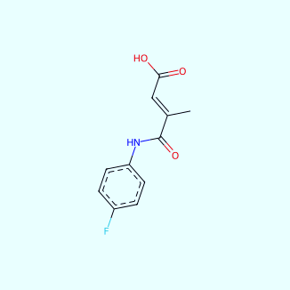 CC(=CC(=O)O)C(=O)Nc1ccc(F)cc1